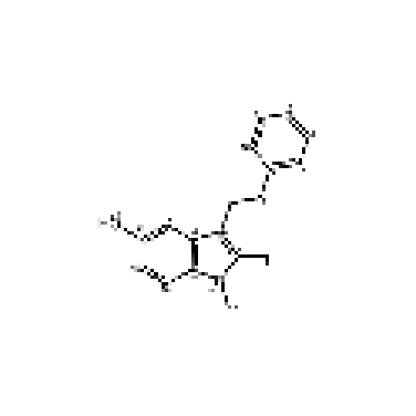 Cc1c(CCc2ccccc2)c2cc(O)ccc2n1C